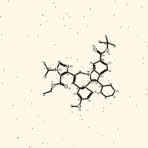 CCOC(=O)c1c(C2=Cc3cc(OC)ccc3-c3c(C4CCCCC4)c4ccc(C(=O)OC(C)(C)C)cc4n3C2)ncn1C(C)C